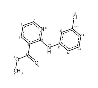 COC(=O)c1cccnc1Nc1cccc(Cl)c1